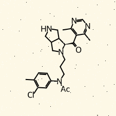 CC(=O)N(CCCN1CC2CNCC2[C@H]1C(=O)c1c(C)ncnc1C)c1ccc(C)c(Cl)c1